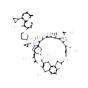 CO[C@H]1/C=C/O[C@@]2(C)Oc3c(C)c(O)c4c(c3C2=O)C(O)C(/C=N/N2CCC(N(C)C3([C@@H]5CCN(c6c(F)cn7c(=O)c(C)cc(C8CC8)c7c6C)C5)CC3)CC2)=C(NC(=O)/C(C)=C\C=C\[C@H](C)[C@H](O)[C@@H](C)[C@@H](O)[C@@H](C)[C@H](OC(C)=O)[C@@H]1C)C4O